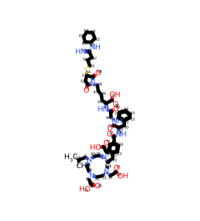 CC(C)CN1CCN(CC(=O)O)CCN(CC(=O)O)CC(Cc2ccc(C(=O)NC(Cc3ccccc3)C(=O)NCC(=O)NC(CCCCN3C(=O)CC(SCCCC(=N)NC4CCCCC4)C3=O)C(=O)O)cc2)N(CC(=O)O)CC1